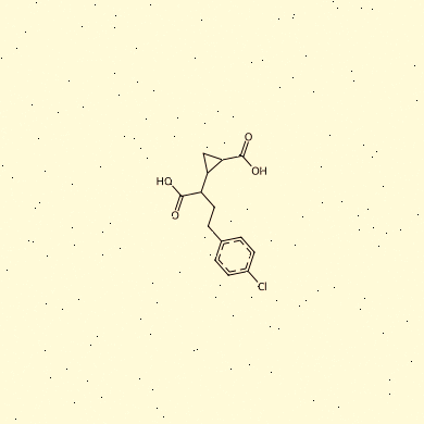 O=C(O)C(CCc1ccc(Cl)cc1)C1CC1C(=O)O